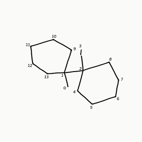 CC1(C2(I)CCCCC2)CCCCC1